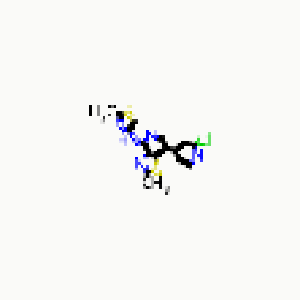 Cc1nc(Nc2ncc(-c3ccnc(Cl)c3)c3sc(C)nc23)cs1